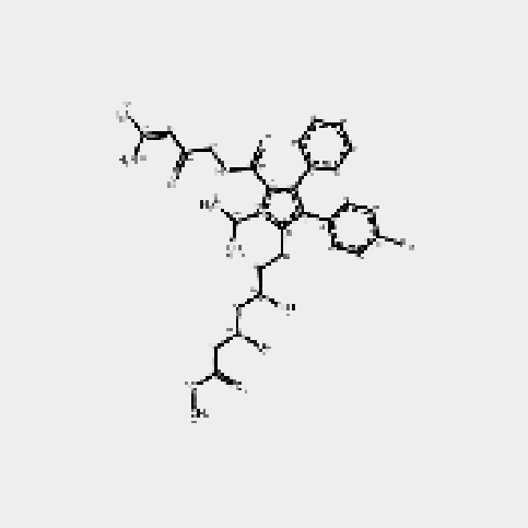 COC(=O)C[C@H](O)C[C@H](O)CCc1c(-c2ccc(F)cc2)c(-c2ccccc2)c(C(=O)NCC(=O)C=C(C)N)n1C(C)C